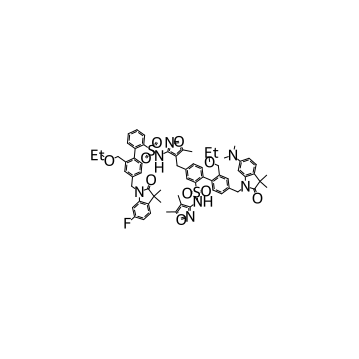 CCOCc1cc(CN2C(=O)C(C)(C)c3ccc(N(C)C)cc32)ccc1-c1ccc(Cc2c(NS(=O)(=O)c3ccccc3-c3ccc(CN4C(=O)C(C)(C)c5ccc(F)cc54)cc3COCC)noc2C)cc1S(=O)(=O)Nc1noc(C)c1C